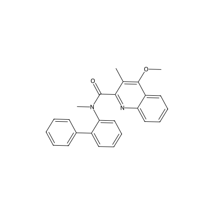 COc1c(C)c(C(=O)N(C)c2ccccc2-c2ccccc2)nc2ccccc12